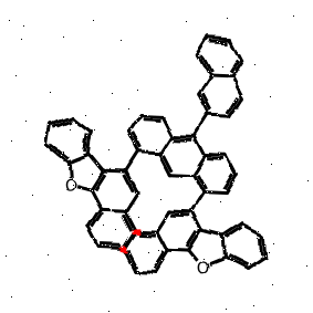 c1ccc2cc(-c3c4cccc(-c5cc6ccccc6c6oc7ccccc7c56)c4cc4c(-c5cc6ccccc6c6oc7ccccc7c56)cccc34)ccc2c1